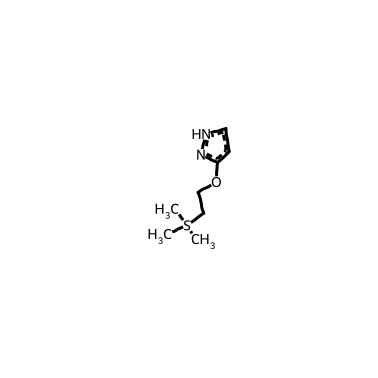 CS(C)(C)CCOc1cc[nH]n1